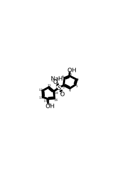 O=S(=O)(c1cccc(O)c1)c1cccc(O)c1.[NaH]